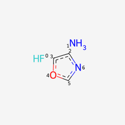 F.N.c1cocn1